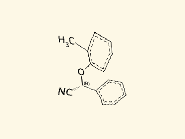 Cc1ccccc1O[C@@H](C#N)c1ccccc1